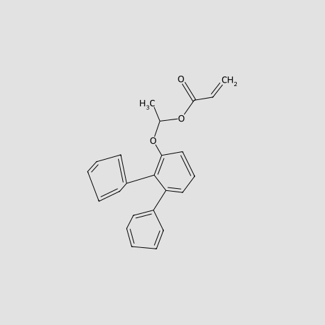 C=CC(=O)OC(C)Oc1cccc(-c2ccccc2)c1-c1ccccc1